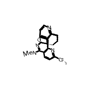 CNC1=NC(=O)[C@]2(CCCc3ncccc32)c2nc(C(F)(F)F)ccc21